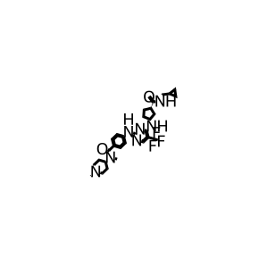 CN1CCC(N(C)C(=O)c2ccc(Nc3ncc(C(F)(F)F)c(N[C@@H]4CC[C@H](C(=O)NCC5CC5)C4)n3)cc2)CC1